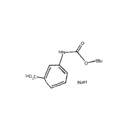 CC(C)(C)OC(=O)Nc1cccc(C(=O)O)c1.[NaH]